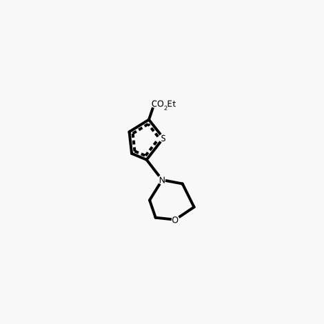 CCOC(=O)c1ccc(N2CCOCC2)s1